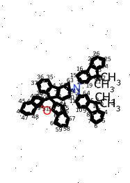 CC1(C)c2ccccc2-c2ccc(N(c3ccc4c(c3)C(C)(C)c3ccccc3-4)C34C=CC5=C(c6ccccc6C56c5ccc7ccccc7c5Oc5c6ccc6ccccc56)C3C4)cc21